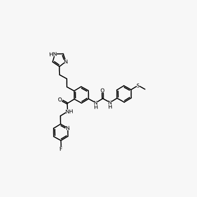 CSc1ccc(NC(=O)Nc2ccc(CCCc3c[nH]cn3)c(C(=O)NCc3ccc(F)cn3)c2)cc1